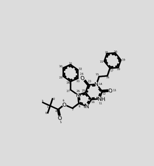 CC(C)(C)C(=O)OCc1nc2[nH]c(=O)n(CCc3ccccc3)c(=O)c2n1Cc1ccccc1